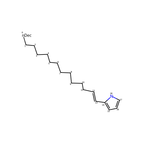 CCCCCCCCCCCCCCCCCCCCCC=CC1=CC=C[N]1